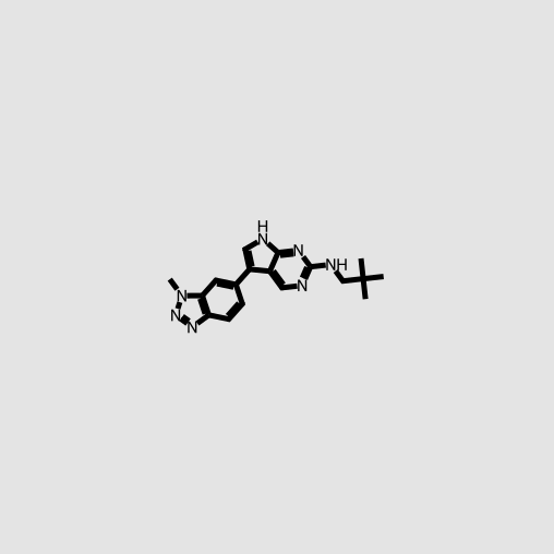 Cn1nnc2ccc(-c3c[nH]c4nc(NCC(C)(C)C)ncc34)cc21